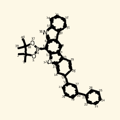 CC1(C)OB(c2c3c(cc4c5c(oc24)=CC(c2cccc(-c4ccccc4)c2)C=C5)-c2ccccc2N=3)OC1(C)C